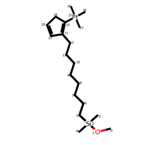 CO[Si](C)(C)CCCCCCCCC1=[C]([Pt]([CH3])([CH3])[CH3])CC=C1